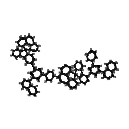 c1ccc(-c2nc(-c3cccc4c3-c3ccccc3C43c4cccc5cc(-c6ccc(-c7nc(-c8ccc9c(c8)-c8ccccc8C98c9cccc%10ccc%11cccc8c%11c9%10)nc(-c8cccc9ccccc89)n7)cc6)c6cccc3c6c45)nc(-c3cccc4ccccc34)n2)cc1